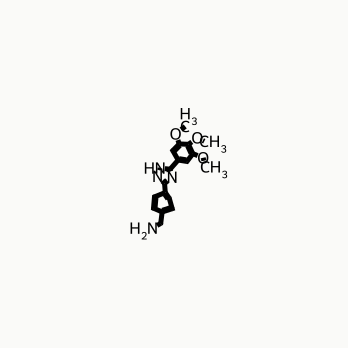 COc1cc(-c2nc(-c3ccc(CN)cc3)n[nH]2)cc(OC)c1OC